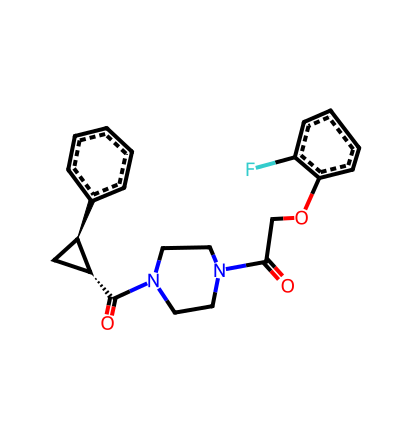 O=C(COc1ccccc1F)N1CCN(C(=O)[C@@H]2C[C@H]2c2ccccc2)CC1